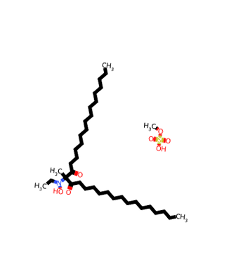 CCCCCCCCCCCCCCCC(=O)C(C)(C(=O)CCCCCCCCCCCCCCC)N(O)CC.COS(=O)(=O)O